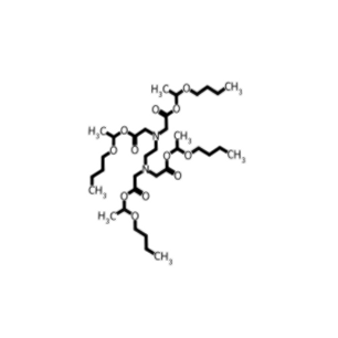 CCCCOC(C)OC(=O)CN(CCN(CC(=O)OC(C)OCCCC)CC(=O)OC(C)OCCCC)CC(=O)OC(C)OCCCC